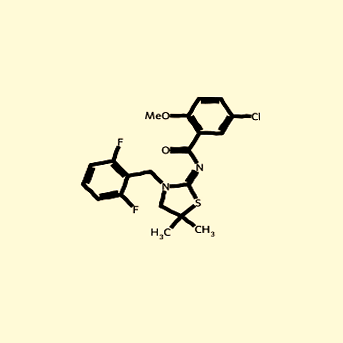 COc1ccc(Cl)cc1C(=O)N=C1SC(C)(C)CN1Cc1c(F)cccc1F